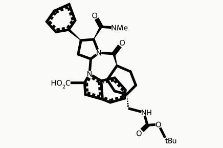 CNC(=O)[C@@H]1[C@H](c2ccccc2)CC(n2c(C(=O)O)cc3ccccc32)N1C(=O)[C@H]1CC[C@H](CNC(=O)OC(C)(C)C)CC1